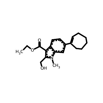 CCOC(=O)c1c(CO)n(C)c2cc(C3=CCCCCC3)ccc12